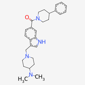 CN(C)C1CCN(Cc2c[nH]c3cc(C(=O)N4CCC(c5ccccc5)CC4)ccc23)CC1